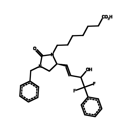 O=C(O)CCCCCCN1C(=O)N(Cc2ccccc2)C[C@@H]1C=CC(O)C(F)(F)c1ccccc1